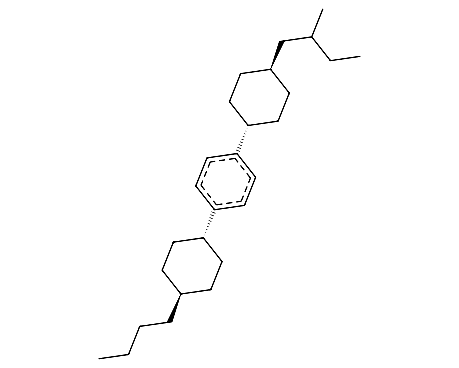 CCCC[C@H]1CC[C@H](c2ccc([C@H]3CC[C@H](CC(C)CC)CC3)cc2)CC1